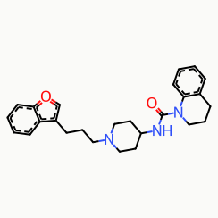 O=C(NC1CCN(CCCc2coc3ccccc23)CC1)N1CCCc2ccccc21